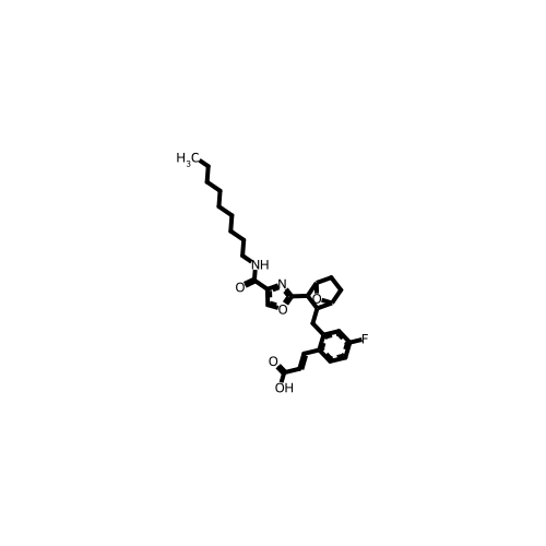 CCCCCCCCCNC(=O)c1coc(C2C3CCC(O3)C2Cc2cc(F)ccc2/C=C/C(=O)O)n1